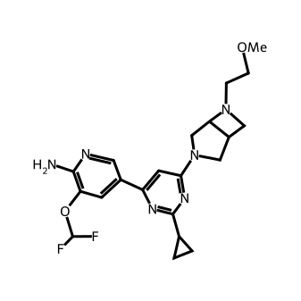 COCCN1CC2CN(c3cc(-c4cnc(N)c(OC(F)F)c4)nc(C4CC4)n3)CC21